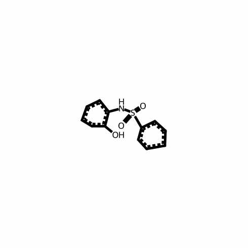 O=S(=O)(Nc1ccccc1O)c1ccccc1